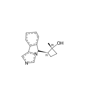 C[C@@]1(O)CC[C@H]1C1c2ccccc2-c2cncn21